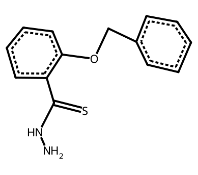 NNC(=S)c1ccccc1OCc1ccccc1